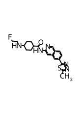 Cc1nnc(-c2ccc3cnc(NC(=O)C4CCC(NCCF)CC4)cc3c2)s1